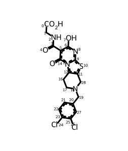 O=C(O)CNC(=O)c1c(O)nc2sc3c(n2c1=O)CCN(Cc1ccc(Cl)c(Cl)c1)C3